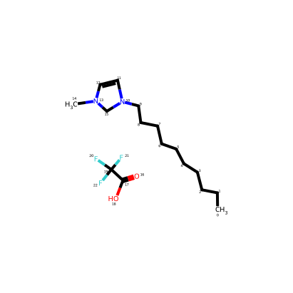 CCCCCCCCCCN1C=CN(C)C1.O=C(O)C(F)(F)F